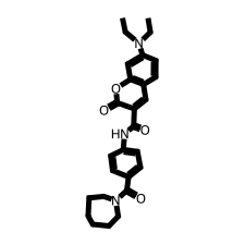 CCN(CC)c1ccc2cc(C(=O)Nc3ccc(C(=O)N4CCCCCC4)cc3)c(=O)oc2c1